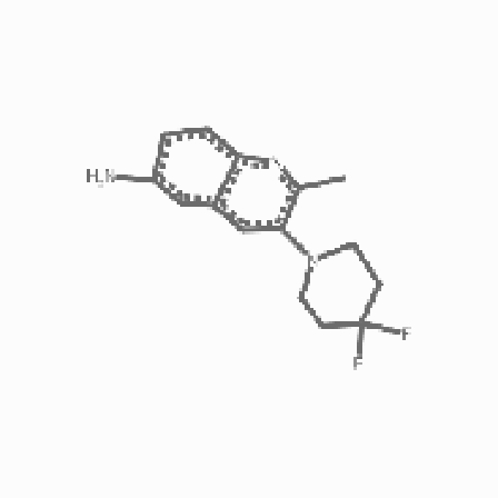 Cc1nc2ccc(N)cc2cc1N1CCC(F)(F)CC1